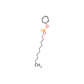 CCCCCCCCCCOPOc1ccccc1